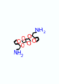 NCCC(O[C@H]1COC2C1OC[C@@H]2OC(CCN)c1ccco1)c1ccco1